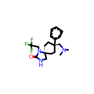 CN(C)C[C@]1(c2ccccc2)CC[C@]2(CC1)CNC(=O)N2CC(F)(F)F